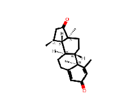 CC1=CC(=O)C=C2CC[C@H]3[C@@H]4[C@@H](C)CC(=O)[C@@]4(C)CC[C@@H]3[C@@]12C